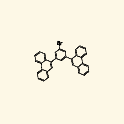 Brc1cc(-c2cc3ccccc3c3ccccc23)cc(-c2cc3ccccc3c3ccccc23)c1